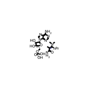 CCC/C(=C(/C)C(N)=O)N(C)C.Nc1ncnc2c1ncn2[C@@H]1O[C@H](COP(=O)(O)O)[C@@H](O)[C@H]1O